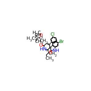 C=C(CC)[C@H]1NC(=O)C[C@@H](c2cccc(Cl)c2)[C@]12C(=O)Nc1cc(Br)ccc12.COC(C)[Si](C)(C)C